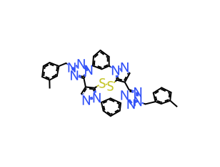 Cc1cccc(Cn2nnc(-c3cnn(-c4ccccc4)c3SSc3c(-c4nnn(Cc5cccc(C)c5)n4)cnn3-c3ccccc3)n2)c1